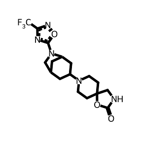 O=C1NCC2(CCN(C3CC4CC(C3)N(c3nc(C(F)(F)F)no3)C4)CC2)O1